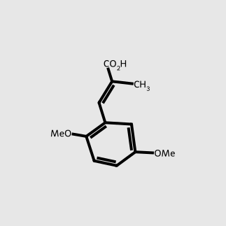 COc1ccc(OC)c(C=C(C)C(=O)O)c1